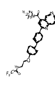 NNC(=O)c1cc(-c2ccc(-c3ccc(OCCNC(=O)C(F)(F)F)cc3)cc2)nc2ccncc12